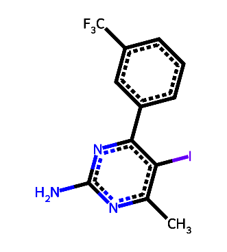 Cc1nc(N)nc(-c2cccc(C(F)(F)F)c2)c1I